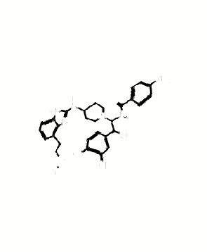 CCOCCc1cccc2[nH]c(NC3CCN(C(C(CC)c4ccc(Cl)c(Cl)c4)N(C)C(=O)c4ccc(C(C)(C)C)cc4)CC3)nc12